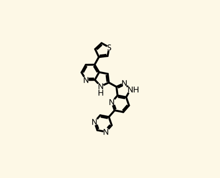 c1ncc(-c2ccc3[nH]nc(-c4cc5c(-c6ccsc6)ccnc5[nH]4)c3n2)cn1